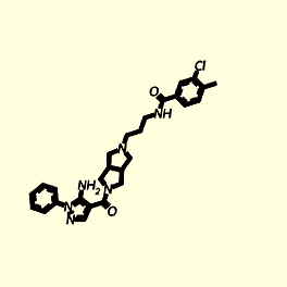 Cc1ccc(C(=O)NCCCN2CC3CN(C(=O)c4cnn(-c5ccccc5)c4N)CC3C2)cc1Cl